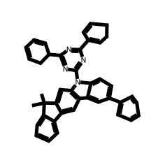 CC1(C)c2ccccc2-c2cc3c4cc(-c5ccccc5)ccc4n(-c4nc(C5=CCCC=C5)nc(C5C=CC=CC5)n4)c3cc21